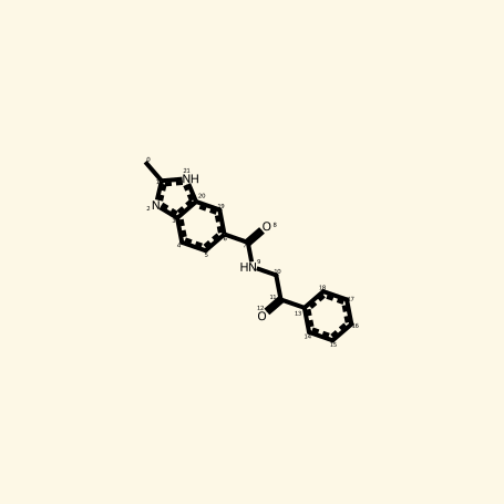 Cc1nc2ccc(C(=O)NCC(=O)c3ccccc3)cc2[nH]1